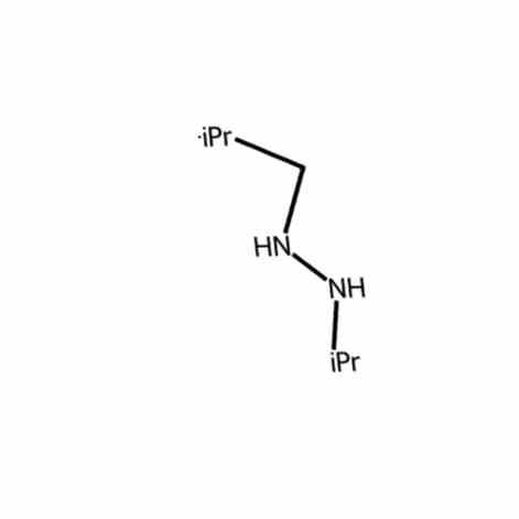 C[C](C)CNNC(C)C